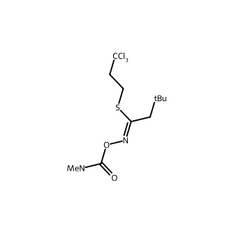 CNC(=O)ON=C(CC(C)(C)C)SCCC(Cl)(Cl)Cl